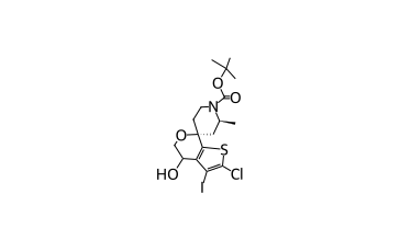 C[C@H]1C[C@@]2(CCN1C(=O)OC(C)(C)C)OCC(O)c1c2sc(Cl)c1I